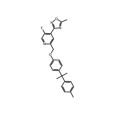 Cc1ccc(C(C)(C)c2ccc(OCc3cc(-c4noc(C)n4)c(F)cn3)cc2)cc1